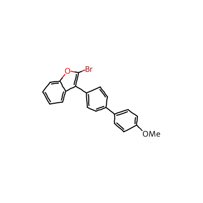 COc1ccc(-c2ccc(-c3c(Br)oc4ccccc34)cc2)cc1